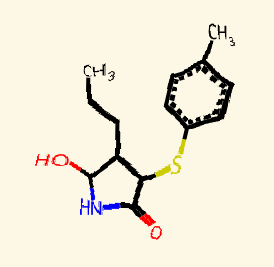 CCCC1C(O)NC(=O)C1Sc1ccc(C)cc1